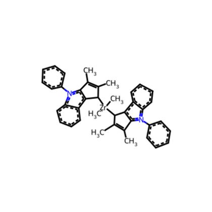 CC1=C(C)[CH]([Zr]([CH3])([CH3])[CH]2C(C)=C(C)c3c2c2ccccc2n3-c2ccccc2)c2c1n(-c1ccccc1)c1ccccc21